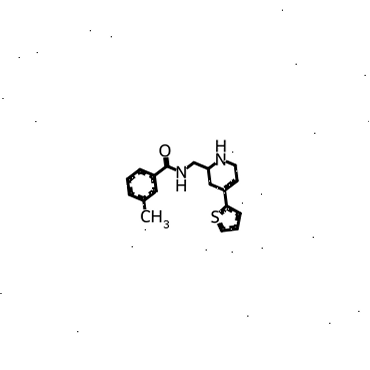 Cc1cccc(C(=O)NCC2CC(c3cccs3)=CCN2)c1